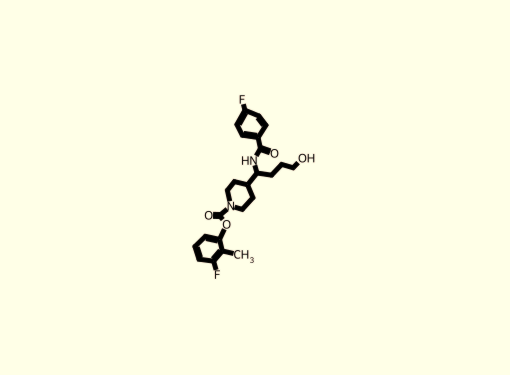 Cc1c(F)cccc1OC(=O)N1CCC(C(CCCO)NC(=O)c2ccc(F)cc2)CC1